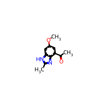 COc1cc(C(C)=O)c2nc(C)[nH]c2c1